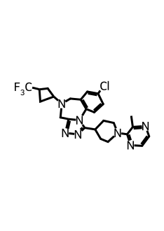 Cc1nccnc1N1CCC(c2nnc3n2-c2ccc(Cl)cc2CN(C2CC(C(F)(F)F)C2)C3)CC1